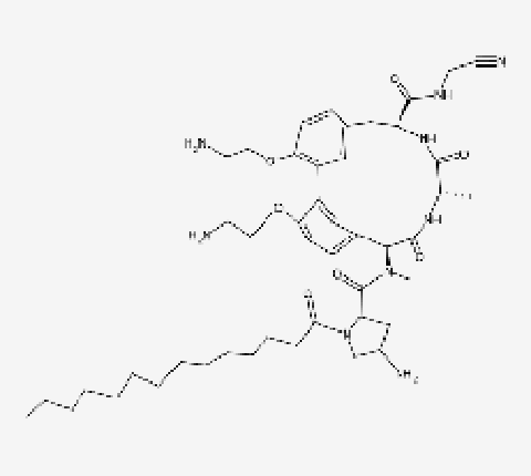 CCCCCCCCCCCCCC(=O)N1CC(N)CC1C(=O)N(C)[C@@H]1C(=O)N[C@@H](C)C(=O)N[C@H](C(=O)NCC#N)Cc2ccc(OCCN)c(c2)-c2cc1ccc2OCCN